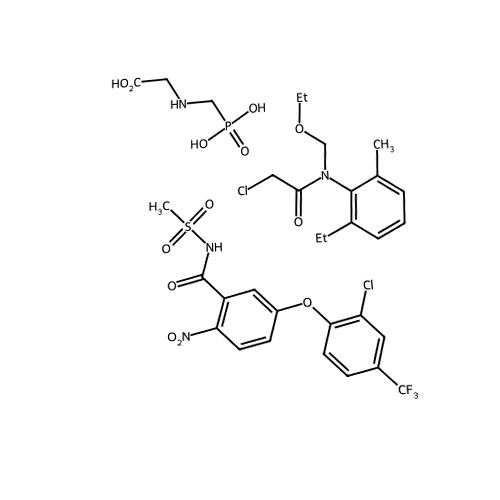 CCOCN(C(=O)CCl)c1c(C)cccc1CC.CS(=O)(=O)NC(=O)c1cc(Oc2ccc(C(F)(F)F)cc2Cl)ccc1[N+](=O)[O-].O=C(O)CNCP(=O)(O)O